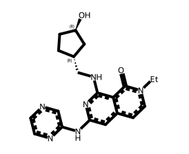 CCn1ccc2cc(Nc3cnccn3)nc(NC[C@@H]3CC[C@@H](O)C3)c2c1=O